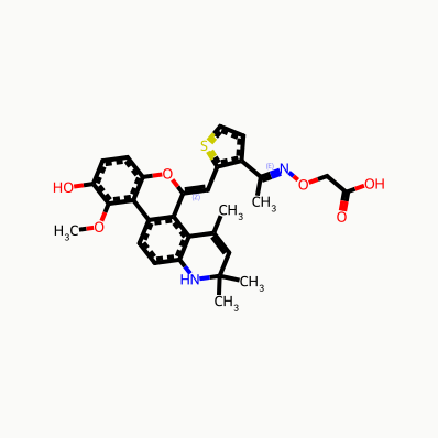 COc1c(O)ccc2c1-c1ccc3c(c1/C(=C/c1sccc1/C(C)=N/OCC(=O)O)O2)C(C)=CC(C)(C)N3